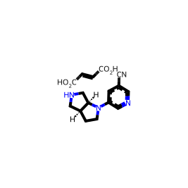 N#Cc1cncc(N2CC[C@H]3CNC[C@H]32)c1.O=C(O)/C=C/C(=O)O